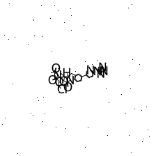 CC(=O)N(C[C@@H]1OC(=O)N2c3ccc(-c4ccc(-n5cnnn5)nc4)cc3C[C@@H]12)C(=O)OCCl